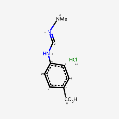 CN/N=C/Nc1ccc(C(=O)O)cc1.Cl